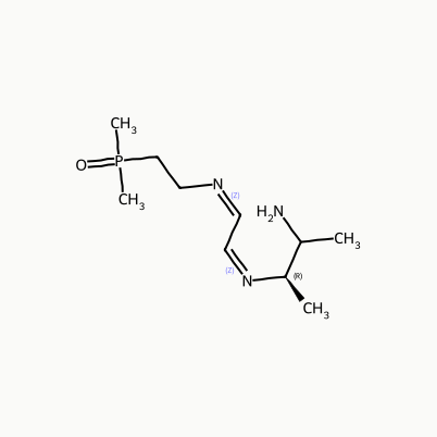 CC(N)[C@@H](C)/N=C\C=N/CCP(C)(C)=O